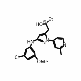 CC[C@H](O)Cc1cc(Nc2cc(Cl)cc(OC)c2)nn1-c1ccnc(C)c1